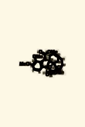 COC(=O)N1c2c(ccc(OC)c2OC)[C@@]23CCN(CCCC4=CC[C@]12[C@](O)(C(=O)OC)C4)C3=O